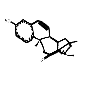 C[C@]12CCC(=O)[C@]13CC[C@@]1(C)C(=C3CC2)C=Cc2cc(O)ccc21